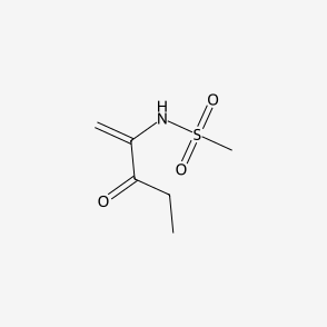 C=C(NS(C)(=O)=O)C(=O)CC